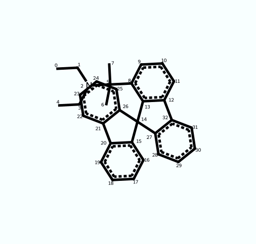 CCN(CC)C(C)(C)c1cccc2c1C1(c3ccccc3-c3ccccc31)c1ccccc1-2